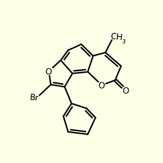 Cc1cc(=O)oc2c1ccc1oc(Br)c(-c3ccccc3)c12